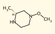 CON1CCN[C@H](C)C1